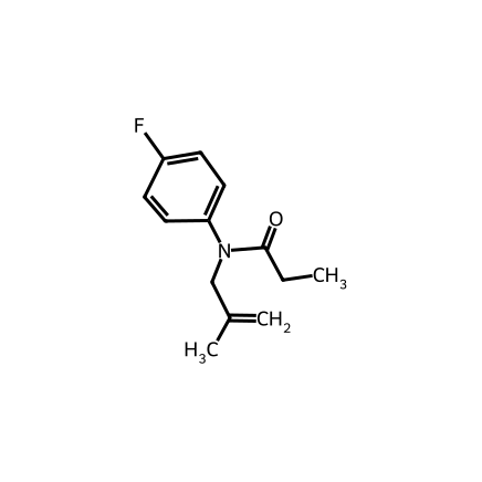 C=C(C)CN(C(=O)CC)c1ccc(F)cc1